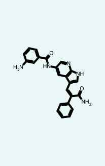 NC(=O)/C(=C\c1c[nH]c2ncc(NC(=O)c3cccc(N)c3)cc12)c1ccccc1